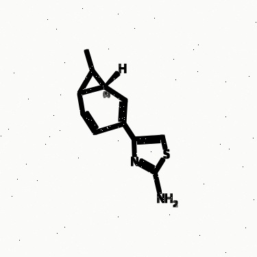 CC1C2C=CC(c3csc(N)n3)=C[C@@H]12